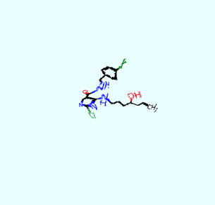 C=CCC(O)CCCNc1nc(Cl)ncc1C(=O)NCc1ccc(F)cc1